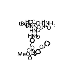 C=C(C)[C@H](NC(=O)OC(C)(C)C)C(=O)N[C@@H](CCCNC(N)=O)C(=O)Nc1ccc(COC(=O)n2c(C(=O)OC)cc3ccc(OCc4ccccc4)cc32)cc1